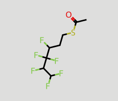 CC(=O)SCCC(F)C(F)(F)C(F)C(F)F